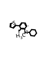 CN(c1[c]ccc(-c2cccs2)c1I)C1CCCCC1